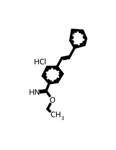 CCOC(=N)c1ccc(C=Cc2ccccc2)cc1.Cl